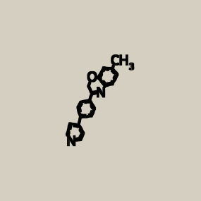 Cc1ccc2c(c1)OCC(c1ccc(-c3ccncc3)cc1)=N2